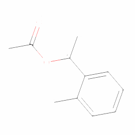 CC(=O)OC(C)c1ccccc1C